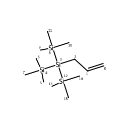 C=CC[Si]([Si](C)(C)C)([Si](C)(C)C)[Si](C)(C)C